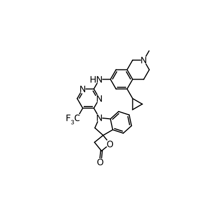 CN1CCc2c(cc(Nc3ncc(C(F)(F)F)c(N4CC5(CC(=O)O5)c5ccccc54)n3)cc2C2CC2)C1